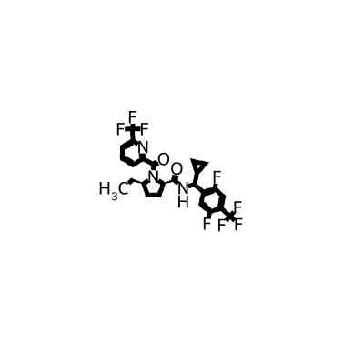 CC[C@@H]1CC[C@H](C(=O)NC(c2cc(F)c(C(F)(F)F)cc2F)C2CC2)N1C(=O)c1cccc(C(F)(F)F)n1